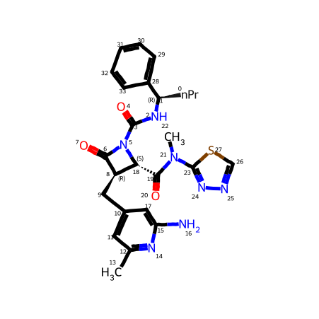 CCC[C@@H](NC(=O)N1C(=O)[C@H](Cc2cc(C)nc(N)c2)[C@H]1C(=O)N(C)c1nncs1)c1ccccc1